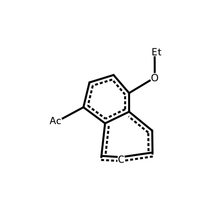 CCOc1ccc(C(C)=O)c2ccccc12